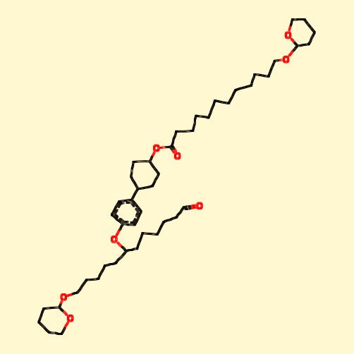 O=CCCCCCC(CCCCCOC1CCCCO1)Oc1ccc(C2CCC(OC(=O)CCCCCCCCCCCOC3CCCCO3)CC2)cc1